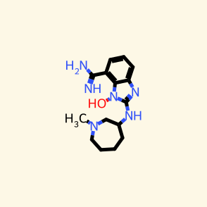 CN1CCCCC(Nc2nc3cccc(C(=N)N)c3n2O)C1